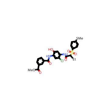 CCC(C(=O)Nc1cc(O)c(NC(=O)c2cccc(C(=O)OC)c2)cc1Cl)S(=O)(=O)c1ccc(SC)cc1